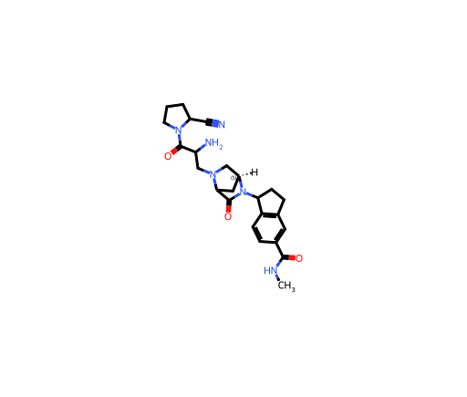 CNC(=O)c1ccc2c(c1)CCC2N1C(=O)C2C[C@H]1CN2CC(N)C(=O)N1CCCC1C#N